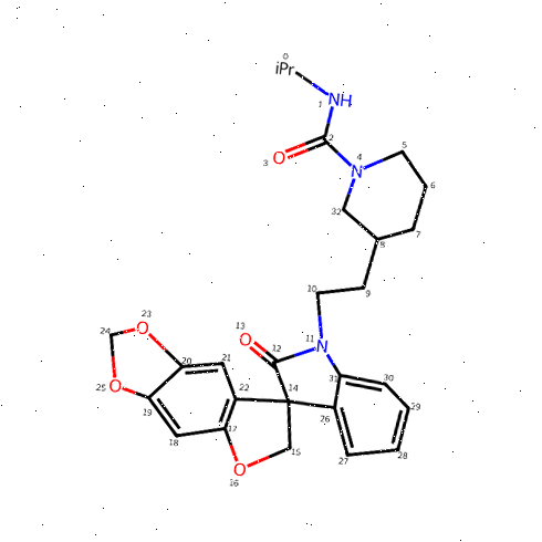 CC(C)NC(=O)N1CCCC(CCN2C(=O)C3(COc4cc5c(cc43)OCO5)c3ccccc32)C1